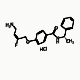 C[C@H](NC(=O)c1ccc(OC/C(F)=C\CN)cc1)c1ccccc1.Cl